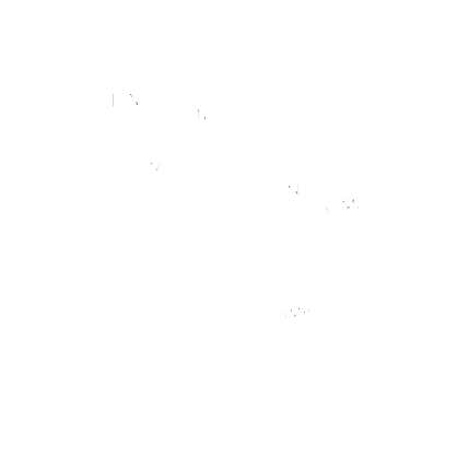 CON=C1CC(c2ccccc2OC)Cc2nc(N)nc(C)c21